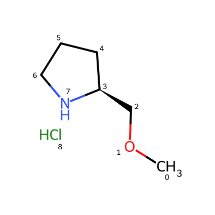 COC[C@@H]1CCCN1.Cl